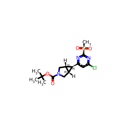 CC(C)(C)OC(=O)N1C[C@@H]2[C@H](C1)[C@H]2c1cc(Cl)nc(S(C)(=O)=O)n1